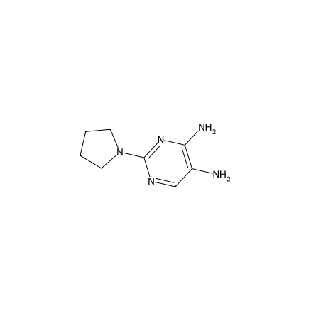 Nc1cnc(N2CCCC2)nc1N